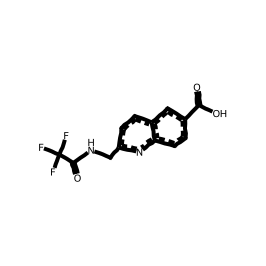 O=C(O)c1ccc2nc(CNC(=O)C(F)(F)F)ccc2c1